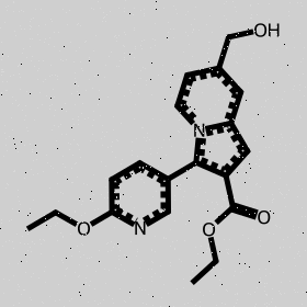 CCOC(=O)c1cc2cc(CO)ccn2c1-c1ccc(OCC)nc1